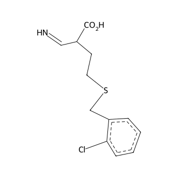 N=CC(CCSCc1ccccc1Cl)C(=O)O